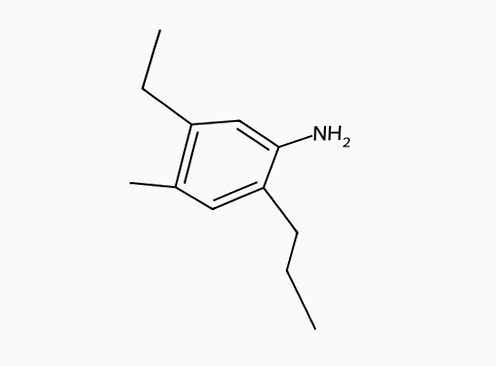 CCCc1cc(C)c(CC)cc1N